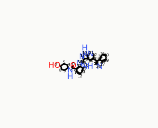 O=C(NC1CCC(O)CC1)c1cccc2[nH]c(-c3n[nH]c4ncc(-c5cncc6ccccc56)cc34)nc12